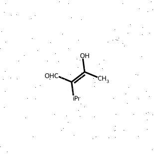 C/C(O)=C(/C=O)C(C)C